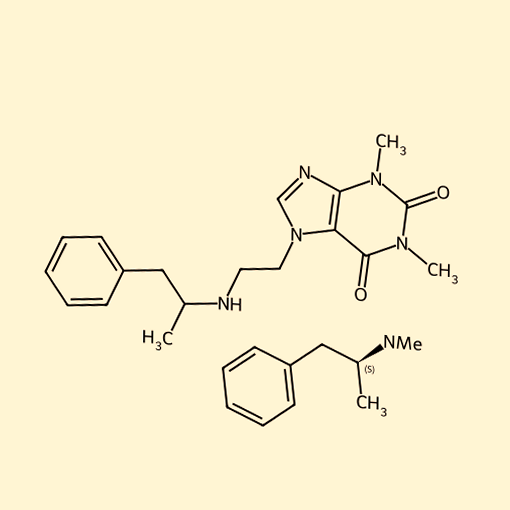 CC(Cc1ccccc1)NCCn1cnc2c1c(=O)n(C)c(=O)n2C.CN[C@@H](C)Cc1ccccc1